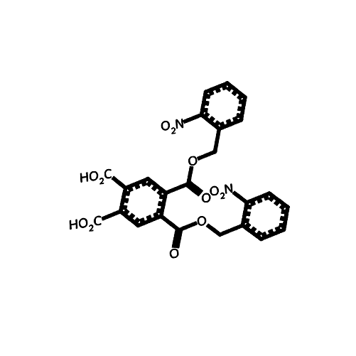 O=C(O)c1cc(C(=O)OCc2ccccc2[N+](=O)[O-])c(C(=O)OCc2ccccc2[N+](=O)[O-])cc1C(=O)O